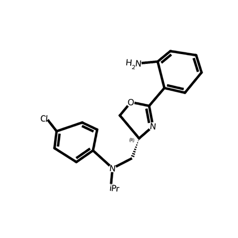 CC(C)N(C[C@@H]1COC(c2ccccc2N)=N1)c1ccc(Cl)cc1